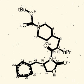 CCC[C@H](CC1CCN(C(=O)OC(C)(C)C)CC1)C(=O)N1C(=O)OC[C@H]1Cc1ccccc1